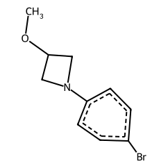 COC1CN(c2ccc(Br)cc2)C1